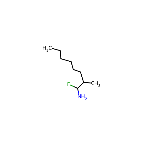 CCCCCCC(C)C(N)F